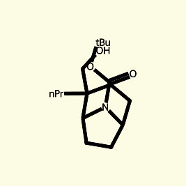 CCCC1(CO)CCC2CCC1N2C(=O)OC(C)(C)C